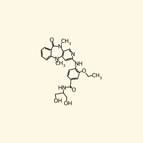 CCOc1cc(C(=O)NC(CO)CO)ccc1Nc1cc2c(cn1)N(C)C(=O)c1ccccc1N2C